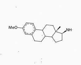 COc1ccc2c(c1)CCC1C2CC[C@@]2(C)C1CC[C@@H]2[NH]